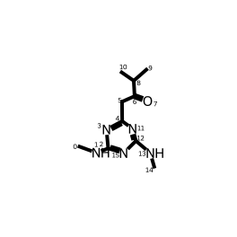 CNc1nc(CC(=O)C(C)C)nc(NC)n1